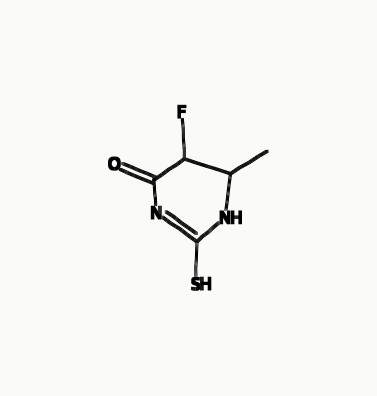 CC1NC(S)=NC(=O)C1F